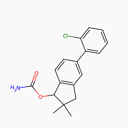 CC1(C)Cc2cc(-c3ccccc3Cl)ccc2C1OC(N)=O